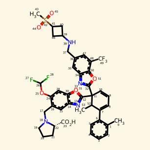 Cc1ccccc1C1=CC=CC(c2nc3cc(CN4CCC[C@H]4C(=O)O)c(OC(F)F)cc3o2)(c2nc3cc(CNC4CC(S(C)(=O)=O)C4)cc(C(F)(F)F)c3o2)C1C